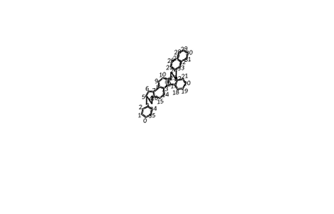 c1ccc(-n2ccc3c4ccc5c(c4ccc32)c2ccccc2n5-c2ccc3ccccc3c2)cc1